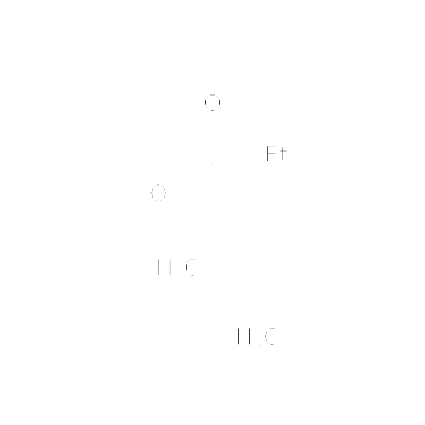 C/C=C\C(C)C1(CC)OCCCO1